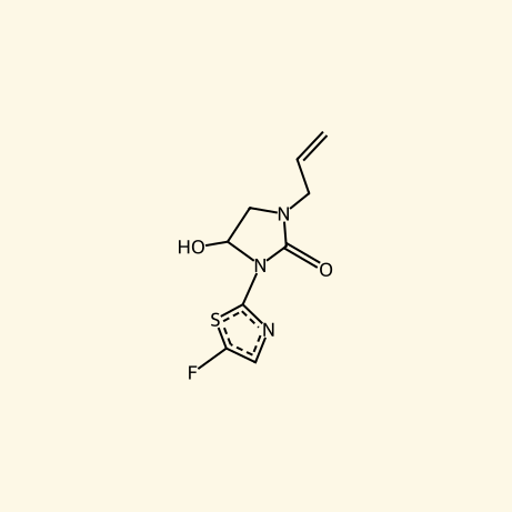 C=CCN1CC(O)N(c2ncc(F)s2)C1=O